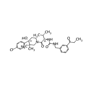 CCC(=O)c1cccc(CNC(=O)N[C@@H](C(=O)N2CC[C@](O)(c3ccc(Cl)cc3)C(C)(C)C2)C(C)C)c1